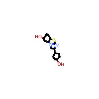 Oc1ccc(-c2cn3c(n2)sc2ccc(O)cc23)cc1